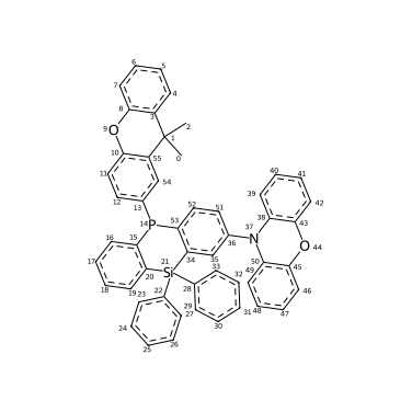 CC1(C)c2ccccc2Oc2ccc(P3c4ccccc4[Si](c4ccccc4)(c4ccccc4)c4cc(N5c6ccccc6Oc6ccccc65)ccc43)cc21